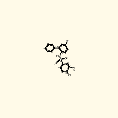 O=S(=O)(Nc1ccc(Cl)cc1-c1ccccc1)c1ccc(Cl)c(Cl)c1